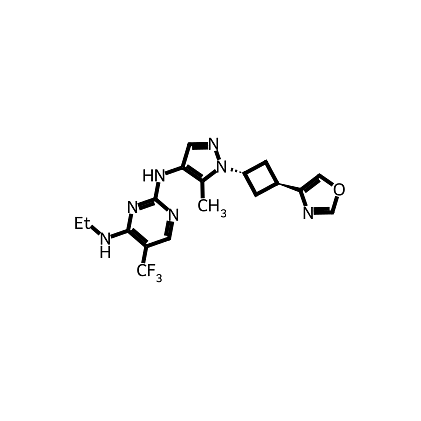 CCNc1nc(Nc2cnn([C@H]3C[C@H](c4cocn4)C3)c2C)ncc1C(F)(F)F